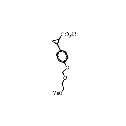 CCOC(=O)C1CC1c1ccc(OCOCCOC)cc1